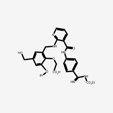 CCOC(=O)NC(=N)c1ccc(NC(=O)c2cccnc2NCc2cc(CO)cc(OC(C)C)c2OCC(=O)O)cc1